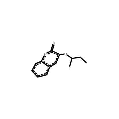 O=c1oc2ccccc2cc1OC(I)CI